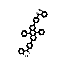 O=C(c1ccc(-c2ccc3c(-c4ccccc4)c4cc(-c5ccc(C(=O)c6ccccc6O)cc5)ccc4c(-c4ccccc4)c3c2)cc1)c1ccccc1O